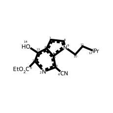 CCOC(=O)c1nc(C#N)c2c(ccn2CCC(C)C)c1O